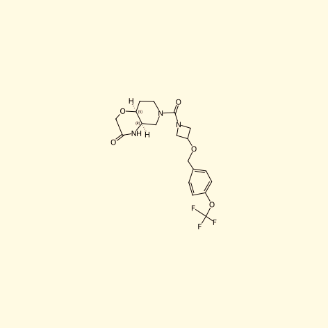 O=C1CO[C@H]2CCN(C(=O)N3CC(OCc4ccc(OC(F)(F)F)cc4)C3)C[C@H]2N1